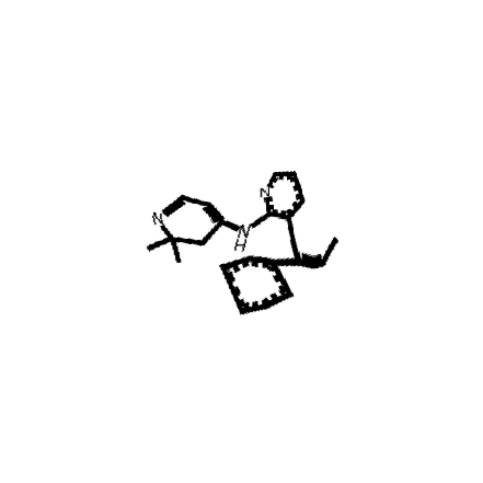 C/C=C(/c1ccccc1)c1cccnc1NC1=CC=NC(C)(C)C1